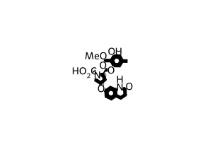 COC(=O)c1c(O)cc(C)cc1OC[C@H]1C[C@H](Oc2ccc3c(c2)NC(=O)CC3)CN1C(=O)O